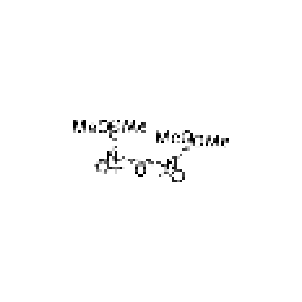 COC(/C=C/CCN1/C(=C/C=C/C(=O)/C=C/C=C2/N(CC/C=C/C(OC)OC)c3ccccc3C2(C)C)[C@H](C)c2ccccc21)OC